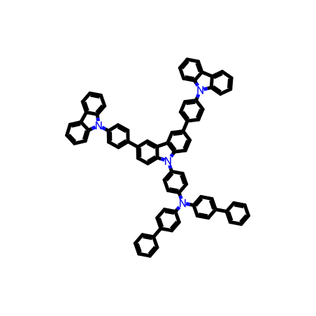 c1ccc(-c2ccc(N(c3ccc(-c4ccccc4)cc3)c3ccc(-n4c5ccc(-c6ccc(-n7c8ccccc8c8ccccc87)cc6)cc5c5cc(-c6ccc(-n7c8ccccc8c8ccccc87)cc6)ccc54)cc3)cc2)cc1